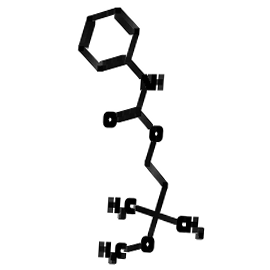 COC(C)(C)CCOC(=O)Nc1ccccc1